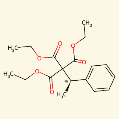 CCOC(=O)C(C(=O)OCC)(C(=O)OCC)[C@H](C)c1ccccc1